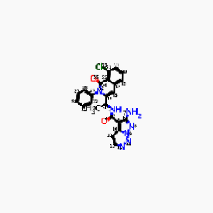 C[C@H](NC(=O)c1c(N)nn2nnccc12)c1cc2cccc(Cl)c2c(=O)n1-c1ccccc1